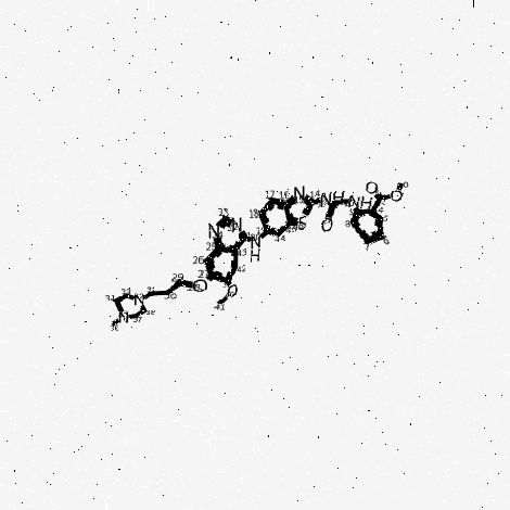 COC(=O)c1ccccc1NC(=O)Nc1nc2ccc(Nc3ncnc4cc(OCCCN5CCN(C)CC5)c(OC)cc34)cc2s1